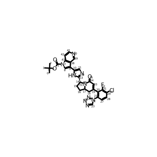 CC(C)(C)OC(=O)n1cc(-c2cnc([C@@H]3CCC4CC(c5c(-n6cnnn6)ccc(Cl)c5F)=CC(=O)N43)[nH]2)c2cnccc21